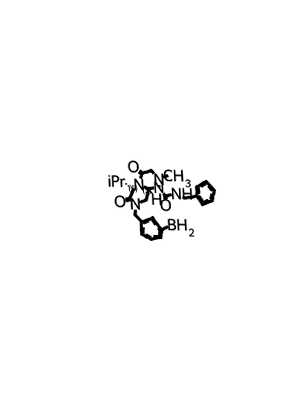 Bc1cccc(CN2C[C@H]3N(C(=O)CN(C)N3C(=O)NCc3ccccc3)[C@@H](C(C)C)C2=O)c1